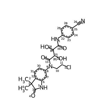 CC1(C)C(=O)Nc2cc(N(CCCl)C(=O)[C@H](O)[C@@H](O)C(=O)Nc3ccc(C#N)cc3)ccc21